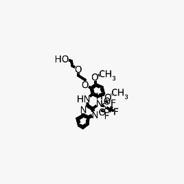 COc1cc(Nc2nc3ccccc3nc2NS(=O)(=O)C(F)(F)F)c(OCCOCCO)c(OC)c1